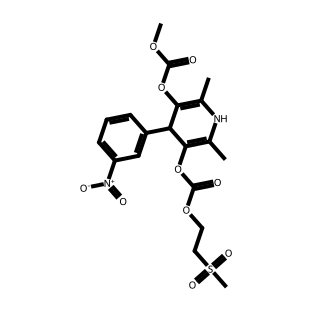 COC(=O)OC1=C(C)NC(C)=C(OC(=O)OCCS(C)(=O)=O)C1c1cccc([N+](=O)[O-])c1